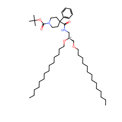 CCCCCCCCCCCCCCOC[C@H](CNC(=O)C1(c2ccccc2)CCN(C(=O)OC(C)(C)C)CC1)OCCCCCCCCCCCCCC